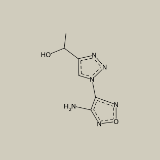 CC(O)c1cn(-c2nonc2N)nn1